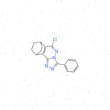 Clc1nn2c(-c3ccccc3)nnc2c2c1C1CCC2CC1